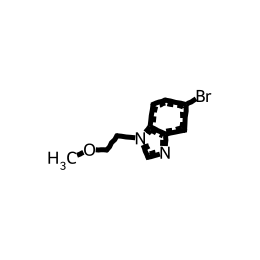 COCCn1cnc2cc(Br)ccc21